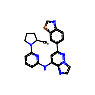 CC1CCCN1c1cccc(Nc2cc(-c3ccc4ncsc4c3)nn3ccnc23)n1